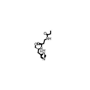 CCC(=O)NCCC(=O)N[C@H](CO)Cc1cnc[nH]1